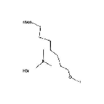 Br.CCCCCCCCCCCCCCCCOCC.CN(C)C